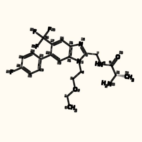 CCOCCn1c(CNC(=O)[C@H](C)N)nc2cc(C(F)(F)F)c(-c3ccc(F)cc3)cc21